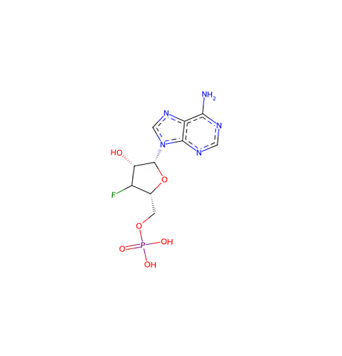 Nc1ncnc2c1ncn2[C@@H]1O[C@H](COP(=O)(O)O)C(F)[C@@H]1O